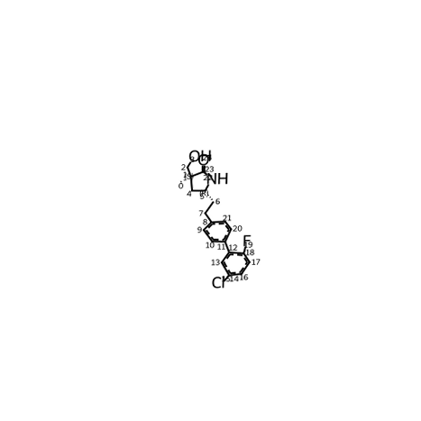 C[C@@]1(CO)C[C@@H](CCc2ccc(-c3cc(Cl)ccc3F)cc2)NC1=O